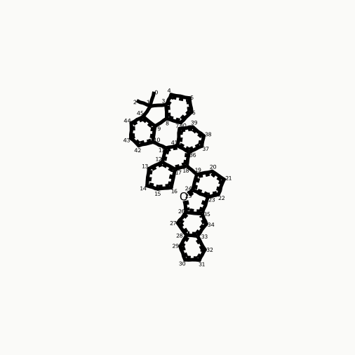 CC1(C)c2ccccc2-c2c(-c3c4ccccc4c(-c4cccc5c4oc4cc6ccccc6cc45)c4ccccc34)cccc21